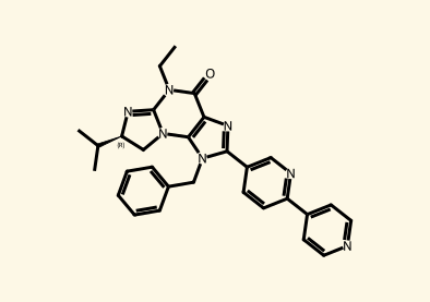 CCN1C(=O)c2nc(-c3ccc(-c4ccncc4)nc3)n(Cc3ccccc3)c2N2C[C@@H](C(C)C)N=C12